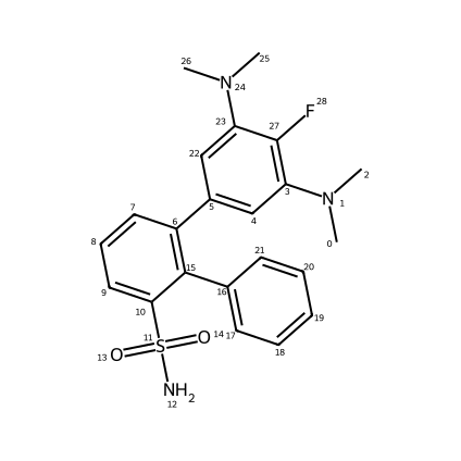 CN(C)c1cc(-c2cccc(S(N)(=O)=O)c2-c2ccccc2)cc(N(C)C)c1F